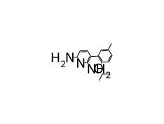 Cc1ccc(OC(C)C)c(-c2ccc(N)nc2N)c1